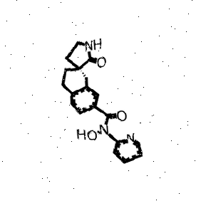 O=C(c1ccc2c(c1)C[C@@]1(CCNC1=O)CC2)N(O)c1ccccn1